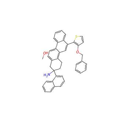 CO.NC1(c2cccc3ccccc23)CCc2c(ccc3c2cc(-c2sccc2OCc2ccccc2)c2ccccc23)C1